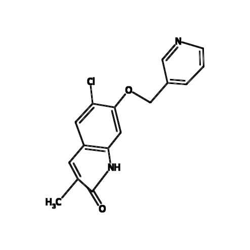 Cc1cc2cc(Cl)c(OCc3cccnc3)cc2[nH]c1=O